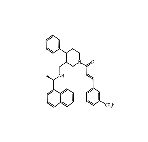 C[C@@H](NCC1CN(C(=O)/C=C/c2cccc(C(=O)O)c2)CCC1c1ccccc1)c1cccc2ccccc12